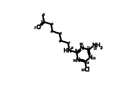 CC(=O)CCCCCNc1nc(N)nc(Cl)n1